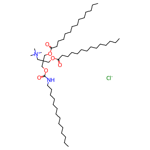 CCCCCCCCCCCCCCNC(=O)OCC(COC(=O)CCCCCCCCCCCCC)(COC(=O)CCCCCCCCCCCCC)C[N+](C)(C)C.[Cl-]